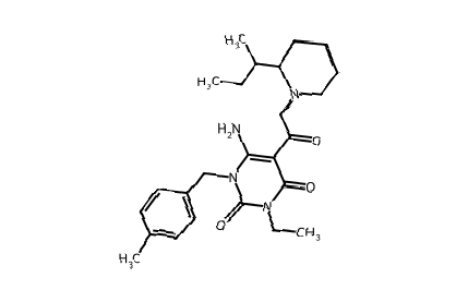 CCC(C)C1CCCCN1CC(=O)c1c(N)n(Cc2ccc(C)cc2)c(=O)n(CC)c1=O